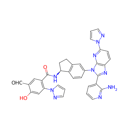 Nc1ncccc1-c1nc2ccc(-n3cccn3)nc2n1-c1ccc2c(c1)CC[C@@H]2NC(=O)c1cc(C=O)c(O)cc1-n1cccn1